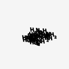 CN[C@@H]1C(O)[C@@H](O[C@@H]2[C@@H](NC(=N)C3(O)CCC3)C3[C@H](N)C(O[C@H]4O[C@H](CNC(=N)C(C)N)CCC4N)C32O)OCC1(C)O